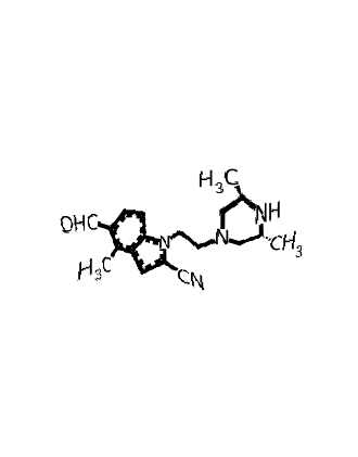 Cc1c(C=O)ccc2c1cc(C#N)n2CCN1C[C@@H](C)N[C@H](C)C1